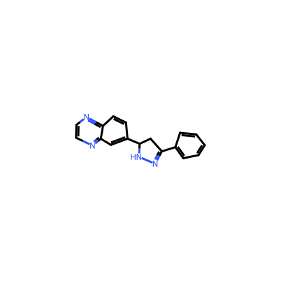 c1ccc(C2=NNC(c3ccc4nccnc4c3)C2)cc1